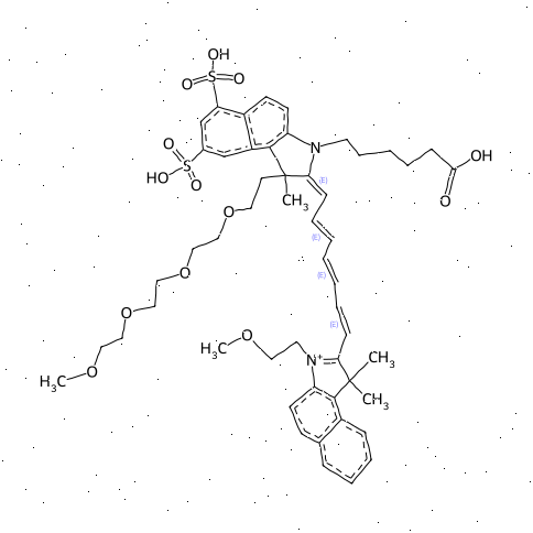 COCCOCCOCCOCCC1(C)\C(=C/C=C/C=C/C=C/C2=[N+](CCOC)c3ccc4ccccc4c3C2(C)C)N(CCCCCC(=O)O)c2ccc3c(S(=O)(=O)O)cc(S(=O)(=O)O)cc3c21